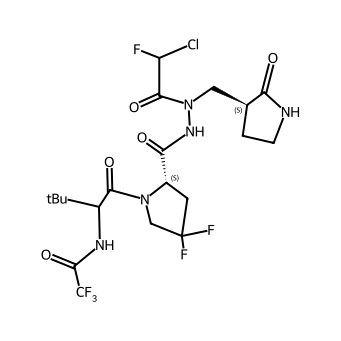 CC(C)(C)C(NC(=O)C(F)(F)F)C(=O)N1CC(F)(F)C[C@H]1C(=O)NN(C[C@@H]1CCNC1=O)C(=O)C(F)Cl